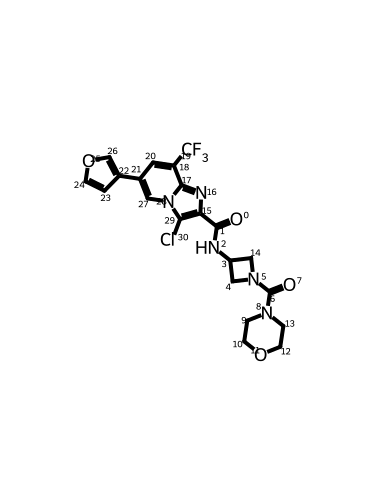 O=C(NC1CN(C(=O)N2CCOCC2)C1)c1nc2c(C(F)(F)F)cc(-c3ccoc3)cn2c1Cl